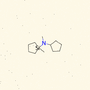 CN(C1CCCC1)[Si]1(C)CCCC1